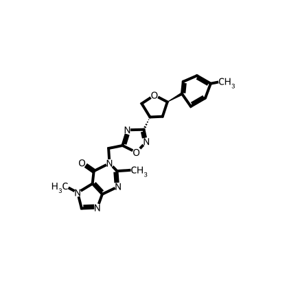 Cc1ccc([C@H]2C[C@H](c3noc(Cn4c(C)nc5ncn(C)c5c4=O)n3)CO2)cc1